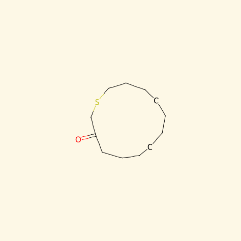 O=C1CCCCCCCCCCSC1